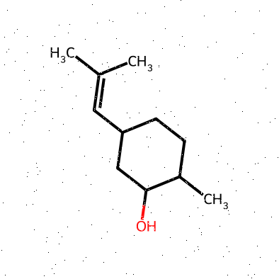 CC(C)=CC1CCC(C)C(O)C1